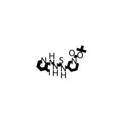 CC(C)(C)OC(=O)N1CCCC(NC(=S)NNc2ncccc2I)C1